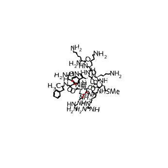 CSCC[C@H](NC(=O)[C@H](CCCCN)NC(=O)[C@H](Cc1c[nH]c2ccccc12)NC(=O)[C@H](CCCCN)NC(=O)[C@@H](N)CCCCN)C(=O)N[C@@H](CCCNC(=N)N)C(=O)N[C@@H](CCCNC(=N)N)C(=O)N[C@@H](CC(N)=O)C(=O)N[C@@H](CCC(N)=O)C(=O)N[C@H](C)Cc1ccccc1